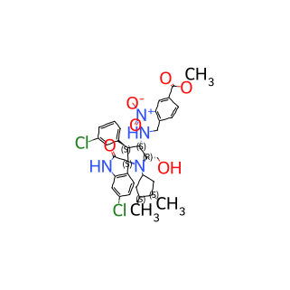 COC(=O)c1ccc(CN[C@@H]2[C@H](CO)N(C3C[C@H](C)[C@@H](C)C3)[C@@]3(C(=O)Nc4cc(Cl)ccc43)[C@H]2c2cccc(Cl)c2)c([N+](=O)[O-])c1